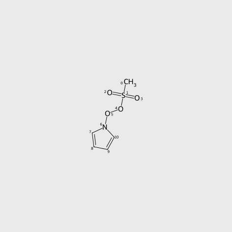 CS(=O)(=O)OOn1cccc1